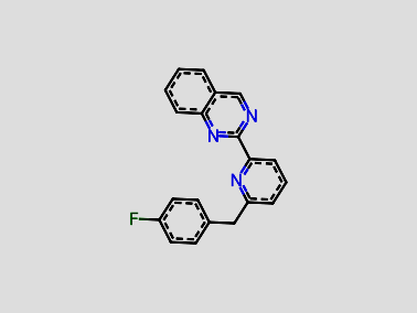 Fc1ccc(Cc2cccc(-c3ncc4ccccc4n3)n2)cc1